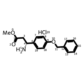 COC(=O)C[C@@H](N)c1ccc(OCc2ccccc2)cc1.Cl